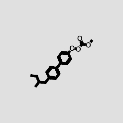 CCC(C)Cc1ccc(-c2ccc(OOC(=O)OC)cc2)cc1